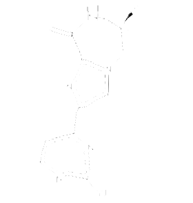 C[C@H]1Cn2cc(-c3ccnc(Cl)n3)nc2C(=O)N1